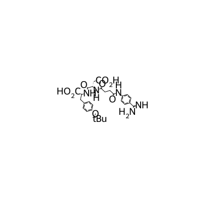 CC(C)(C)Oc1ccc(C[C@H](NC(=O)[C@H](CC(=O)O)NC(=O)CCC(=O)Nc2ccc(C(=N)N)cc2)C(=O)O)cc1